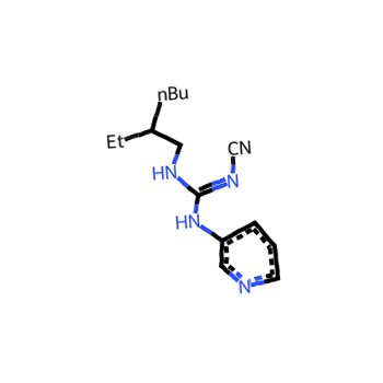 CCCCC(CC)CNC(=NC#N)Nc1cccnc1